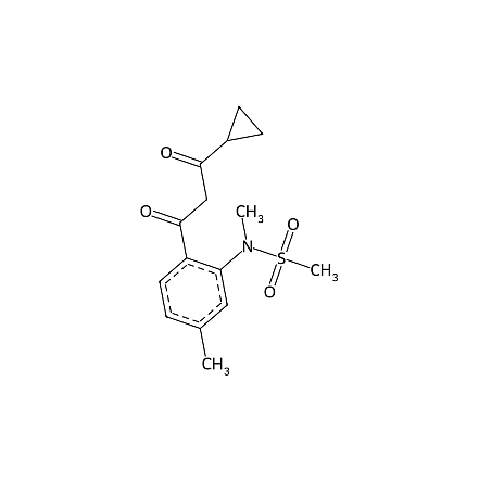 Cc1ccc(C(=O)CC(=O)C2CC2)c(N(C)S(C)(=O)=O)c1